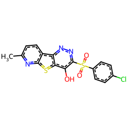 Cc1ccc2c(n1)sc1c(O)c(S(=O)(=O)c3ccc(Cl)cc3)nnc12